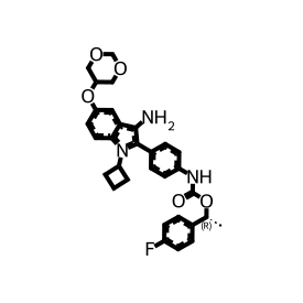 C[C@@H](OC(=O)Nc1ccc(-c2c(N)c3cc(OC4COCOC4)ccc3n2C2CCC2)cc1)c1ccc(F)cc1